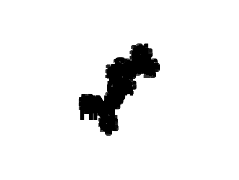 c1ccc(C2N=C(c3ccc4c(c3)oc3c(-c5cccc6sc7cc(-n8c9ccccc9c9ccccc98)ccc7c56)cccc34)NC(c3ccccc3)N2)cc1